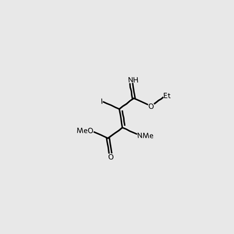 CCOC(=N)/C(I)=C(\NC)C(=O)OC